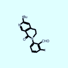 CC(C)(C)c1cc2c(cn1)C(=O)N(c1cccc(I)c1C=O)CC2